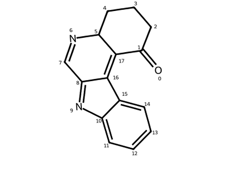 O=C1CCCC2N=CC3=Nc4ccccc4C3=C12